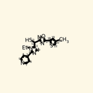 CCn1c(-c2ccncc2)nnc1C(S)c1noc(-c2cc(C)cs2)n1